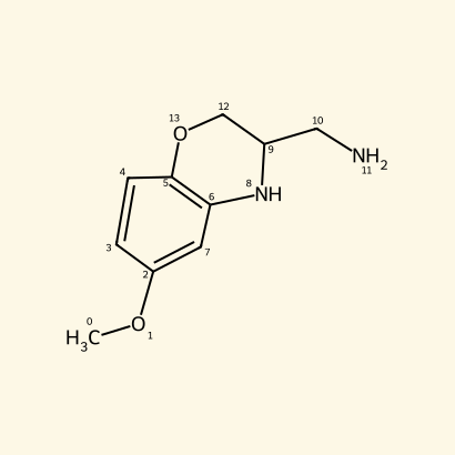 COc1ccc2c(c1)NC(CN)CO2